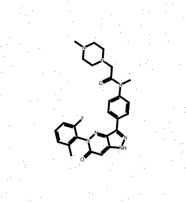 Cc1cccc(F)c1-n1nc2c(-c3ccc(N(C)C(=O)CN4CCN(C)CC4)cc3)n[nH]c2cc1=O